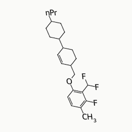 CCCC1CCC(C2C=CC(COc3ccc(C)c(F)c3C(F)F)CC2)CC1